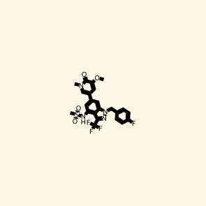 COc1cc(-c2cc(NS(C)(=O)=O)c3c(C(F)(F)F)nn(Cc4ccc(F)cc4)c3c2)cn(C)c1=O